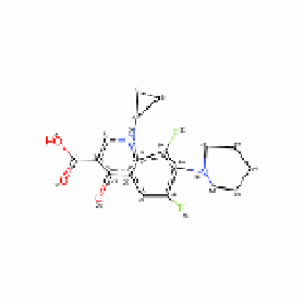 O=C(O)c1cn(C2CC2)c2c(F)c(N3CCCCC3)c(F)cc2c1=O